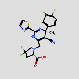 C[C@@]1(c2ccc(F)c(F)c2)N=C(c2nccs2)NC(CN2CC(F)(F)C[C@H]2C(=O)O)=C1C#N